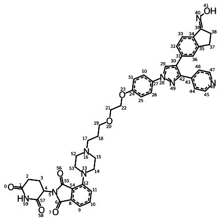 O=C1CCC(N2C(=O)c3cccc(N4CCN(CCCOCCOc5ccc(-n6cc(-c7ccc8c(c7)CCC8=NO)c(-c7ccncc7)n6)cc5)CC4)c3C2=O)C(=O)N1